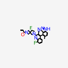 C=CC(=O)N1CC2(C1)CN(c1nc3c(F)cccc3c(-c3c(C)ccc4[nH]ncc34)c1C#N)CC2F